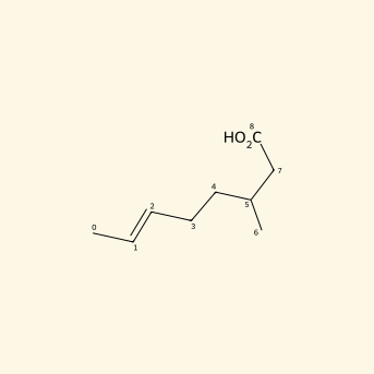 CC=CCCC(C)CC(=O)O